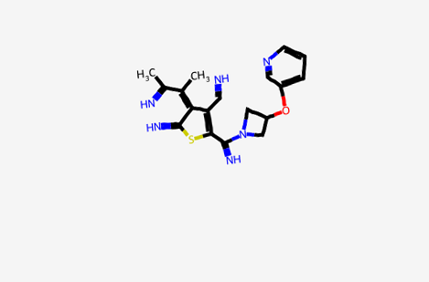 CC(=N)/C(C)=C1\C(=N)SC(C(=N)N2CC(Oc3cccnc3)C2)=C1C=N